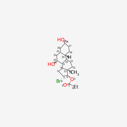 CCC(=O)O[C@H]1[C@H](Br)CC2C3C(CC[C@@]21C)[C@H]1CC[C@H](O)CC1C[C@@H]3O